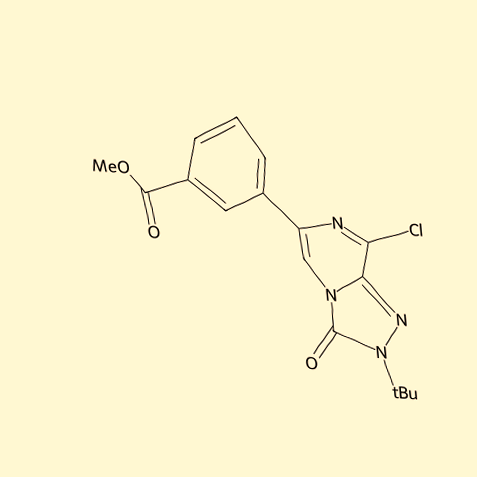 COC(=O)c1cccc(-c2cn3c(=O)n(C(C)(C)C)nc3c(Cl)n2)c1